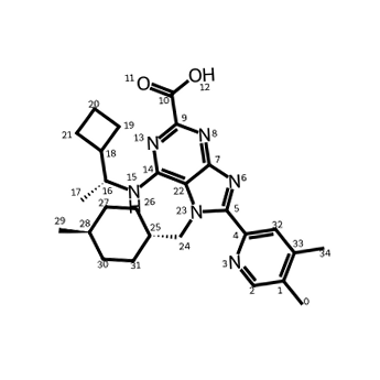 Cc1cnc(-c2nc3nc(C(=O)O)nc(N[C@H](C)C4CCC4)c3n2C[C@H]2CC[C@H](C)CC2)cc1C